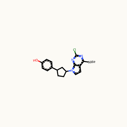 CNc1nc(Cl)nc2c1ccn2C1CCC(c2ccc(O)cc2)C1